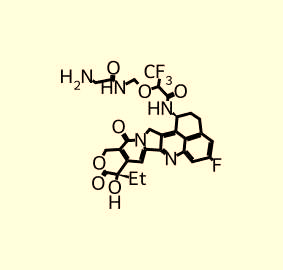 CC[C@@]1(O)C(=O)OCc2c1cc1n(c2=O)Cc2c-1nc1cc(F)cc3c1c2[C@@H](NC(=O)C(OCNC(=O)CN)C(F)(F)F)CC3